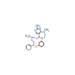 CNCCC(Oc1cccc(N2CCN(C)c3nc(C)ncc3C2=O)c1)C1=CC=CCC1